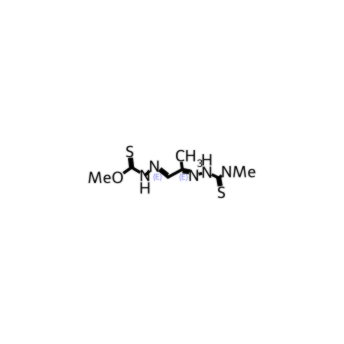 CNC(=S)N/N=C(C)/C=N/NC(=S)OC